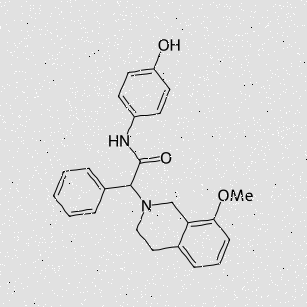 COc1cccc2c1CN(C(C(=O)Nc1ccc(O)cc1)c1ccccc1)CC2